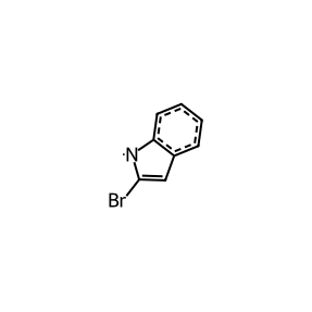 BrC1=Cc2ccccc2[N]1